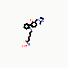 Cc1nccn1CC1CCc2c(c3ccccc3n2CCCCCC(=O)NO)C1=O